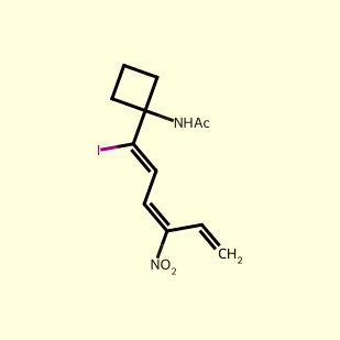 C=C/C(=C\C=C(/I)C1(NC(C)=O)CCC1)[N+](=O)[O-]